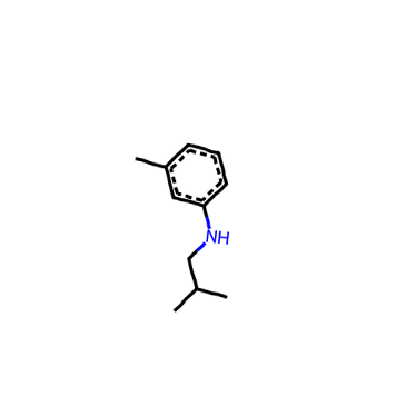 Cc1cccc(NCC(C)C)c1